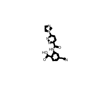 N#Cc1ccc(C(=O)O)c(NC(=O)c2ccc(-n3ccnc3)nn2)c1